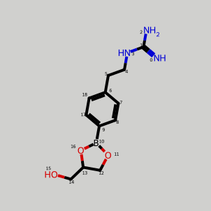 N=C(N)NCCc1ccc(B2OCC(CO)O2)cc1